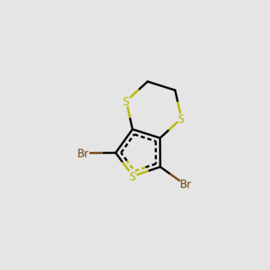 Brc1sc(Br)c2c1SCCS2